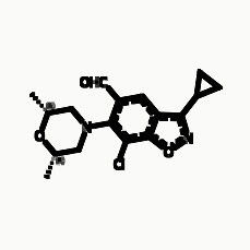 C[C@@H]1CN(c2c(C=O)cc3c(C4CC4)noc3c2Cl)C[C@H](C)O1